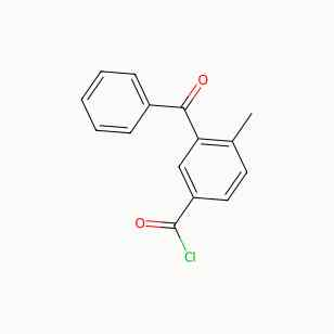 Cc1ccc(C(=O)Cl)cc1C(=O)c1ccccc1